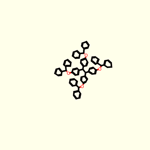 C1=CCCC(C(Oc2ccc(C(c3ccc(OC(c4ccccc4)c4ccccc4)cc3)C(c3ccc(OC(c4ccccc4)c4ccccc4)cc3)c3ccc(OC(c4ccccc4)c4ccccc4)cc3)cc2)c2ccccc2)=C1